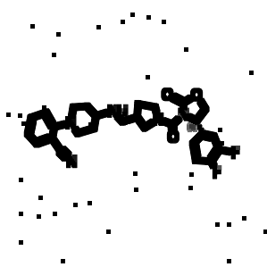 N#Cc1ccccc1N1CCC(NCC2CCN(C(=O)N3C(=O)OC[C@@H]3c3ccc(F)c(F)c3)C2)CC1